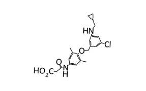 Cc1cc(NC(=O)CC(=O)O)cc(C)c1OCc1cc(Cl)cc(NCC2CC2)c1